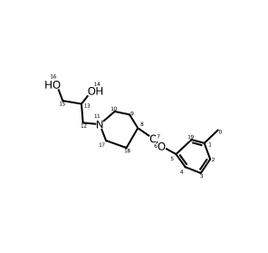 Cc1cccc(OCC2CCN(CC(O)CO)CC2)c1